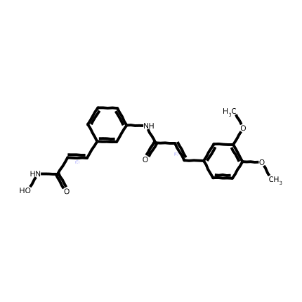 COc1ccc(/C=C/C(=O)Nc2cccc(/C=C/C(=O)NO)c2)cc1OC